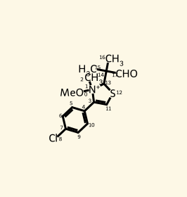 CO[N+]1(C)C(c2ccc(Cl)cc2)=CSC1C(C)(C)C=O